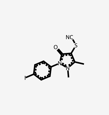 Cc1c(SC#N)c(=O)n(-c2ccc(I)cc2)n1C